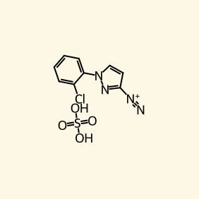 N#[N+]c1ccn(-c2ccccc2Cl)n1.O=S(=O)(O)O